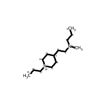 CCCN(C)CCC1CCN(CCC)CC1